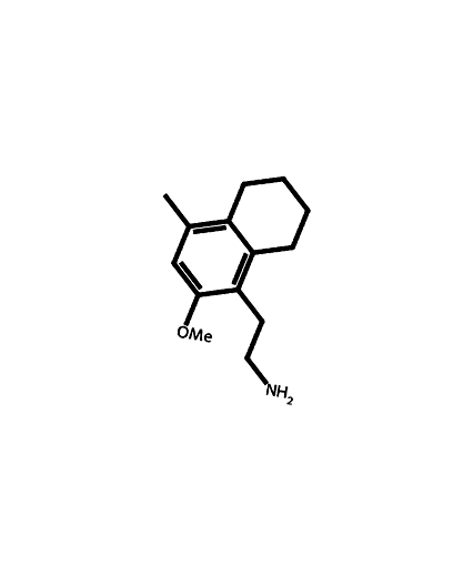 COc1cc(C)c2c(c1CCN)CCCC2